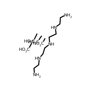 CC(=O)O.CC(=O)O.CC(=O)O.CC(=O)O.NCCNCCNCCNCCN